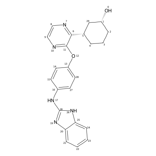 O[C@@H]1CCC[C@H](c2nccnc2Oc2ccc(Nc3nc4ccccc4[nH]3)cc2)C1